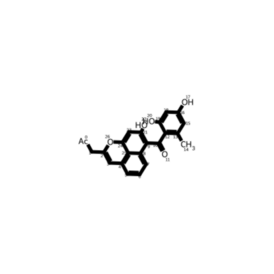 CC(=O)CC1=Cc2cccc3c(C(=O)c4c(C)cc(O)cc4O)c(O)cc(c23)O1